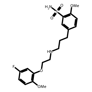 COc1ccc(F)cc1OCCNCCCc1ccc(OC)c(S(N)(=O)=O)c1